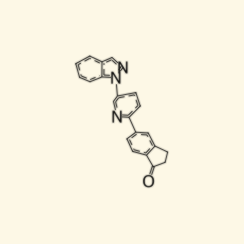 O=C1CCc2cc(-c3ccc(-n4ncc5ccccc54)cn3)ccc21